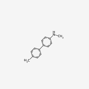 [CH2]c1ccc(-c2ccc(NC)cc2)cc1